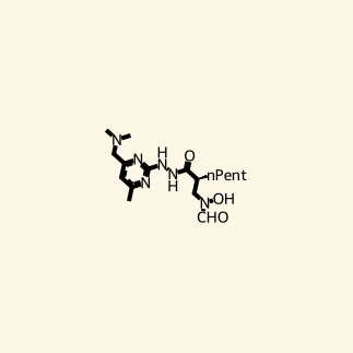 CCCCC[C@@H](CN(O)C=O)C(=O)NNc1nc(C)cc(CN(C)C)n1